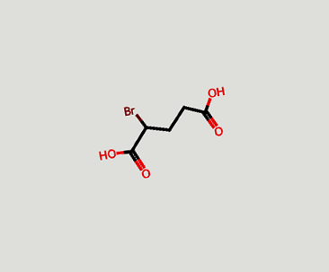 O=C(O)CCC(Br)C(=O)O